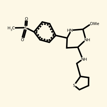 COC1NC(NCC2CCCS2)CC(c2ccc(S(C)(=O)=O)cc2)N1